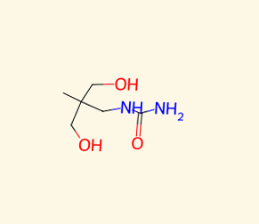 CC(CO)(CO)CNC(N)=O